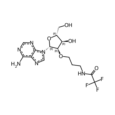 Nc1ncnc2c1ncn2[C@@H]1O[C@H](CO)[C@@H](O)[C@H]1OCCCNC(=O)C(F)(F)F